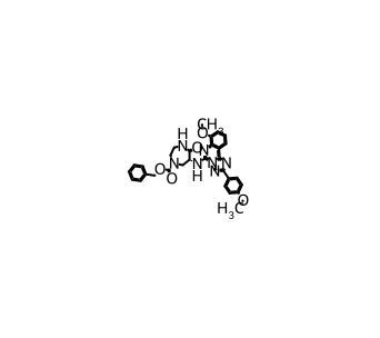 COc1ccc(-c2nc3c4cccc(OC)c4nc(N[C@@H]4CN(C(=O)OCc5ccccc5)CCNC4=O)n3n2)cc1